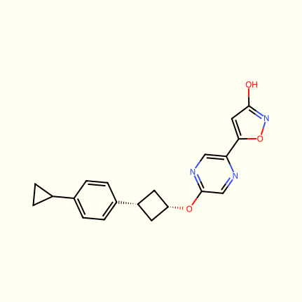 Oc1cc(-c2cnc(O[C@H]3C[C@@H](c4ccc(C5CC5)cc4)C3)cn2)on1